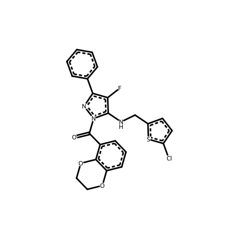 O=C(c1cccc2c1OCCO2)n1nc(-c2ccccc2)c(F)c1NCc1ccc(Cl)s1